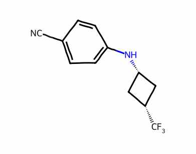 N#Cc1ccc(N[C@H]2C[C@@H](C(F)(F)F)C2)cc1